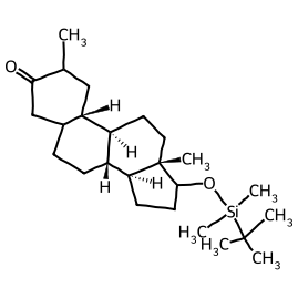 CC1C[C@H]2C(CC[C@@H]3[C@@H]2CC[C@]2(C)C(O[Si](C)(C)C(C)(C)C)CC[C@@H]32)CC1=O